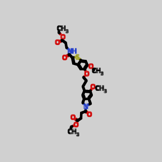 CCOC(=O)CCNC(=O)c1cc2cc(OCCCc3cc4c(cc3OC)CN(C(=O)CCC(=O)OCC)C4)c(OC)cc2s1